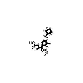 COCOc1c(C(=O)C(C)CC(=O)O)ccc(OCc2ccccc2)c1C